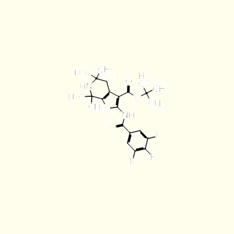 CC1(C)Cc2c(sc(NC(=O)c3cc(F)c(F)c(F)c3)c2C(=O)OC(C)(C)C)C(C)(C)N1